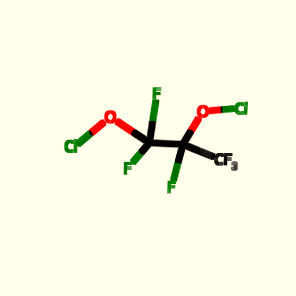 FC(F)(F)C(F)(OCl)C(F)(F)OCl